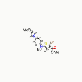 CCN(c1sc(Br)c(C(=O)OC)c1C)C1CCC(N2CC(OC)C2)CC1